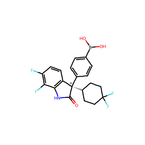 O=C1Nc2c(ccc(F)c2F)[C@]1(c1ccc(B(O)O)cc1)C1CCC(F)(F)CC1